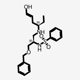 CC[C@H](CC=CO)NC[C@H](COCc1ccccc1)NS(=O)(=O)c1ccccc1